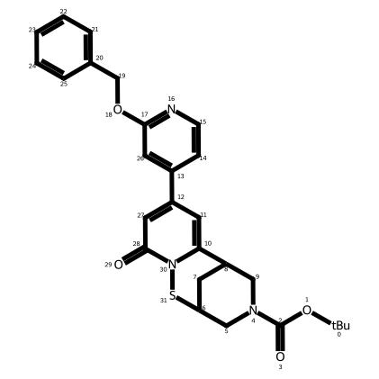 CC(C)(C)OC(=O)N1CC2CC(C1)c1cc(-c3ccnc(OCc4ccccc4)c3)cc(=O)n1S2